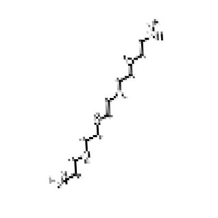 CC(C)NCCOCCOCCOCCOCCN